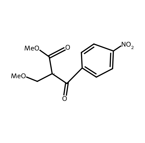 COC[C](C(=O)OC)C(=O)c1ccc([N+](=O)[O-])cc1